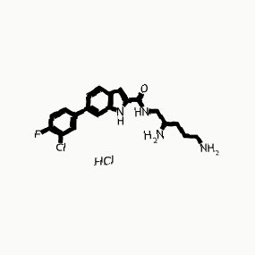 Cl.NCCCC(N)CNC(=O)c1cc2ccc(-c3ccc(F)c(Cl)c3)cc2[nH]1